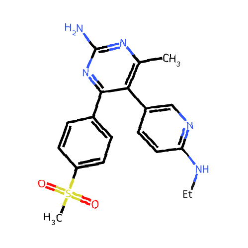 CCNc1ccc(-c2c(C)nc(N)nc2-c2ccc(S(C)(=O)=O)cc2)cn1